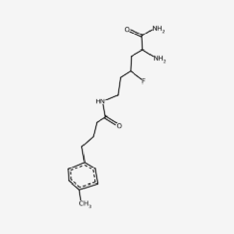 Cc1ccc(CCCC(=O)NCCC(F)CC(N)C(N)=O)cc1